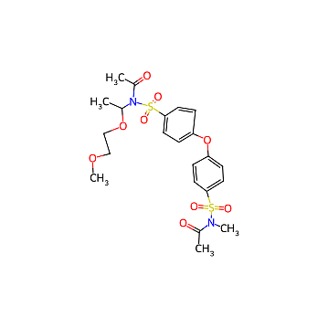 COCCOC(C)N(C(C)=O)S(=O)(=O)c1ccc(Oc2ccc(S(=O)(=O)N(C)C(C)=O)cc2)cc1